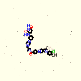 C[C@H]1CC2(CCN(c3ccc(C(=O)N4CC(CN5CCN(c6cccc(N[C@@H]7CCC(=O)NC7=O)c6)CC5)C4)cc3)CC2)CN1c1ccc(C#N)c(Cl)c1